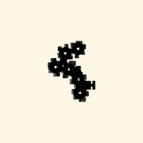 c1ccc(-c2cccc(-n3c4ccccc4c4cc5c(cc43)sc3cc4[nH]c6ccccc6c4cc35)c2)cc1